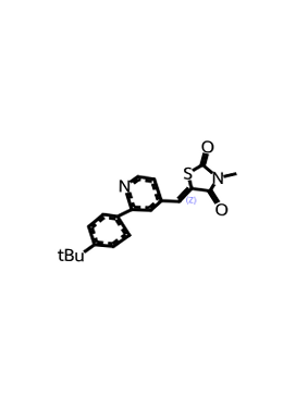 CN1C(=O)S/C(=C\c2ccnc(-c3ccc(C(C)(C)C)cc3)c2)C1=O